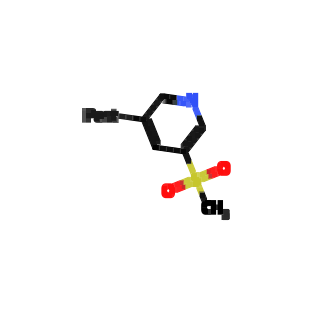 CCCC(C)c1cncc(S(C)(=O)=O)c1